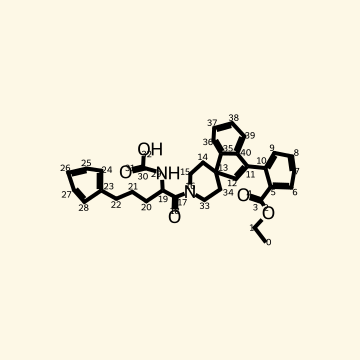 CCOC(=O)c1ccccc1C1=CC2(CCN(C(=O)C(CCCc3ccccc3)NC(=O)O)CC2)c2ccccc21